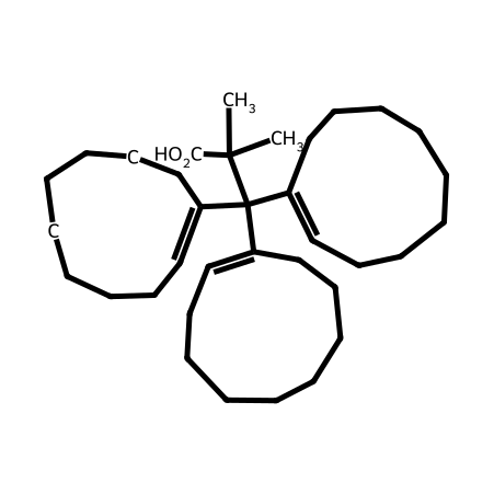 CC(C)(C(=O)O)C(C1=CCCCCCCCC1)(C1=CCCCCCCCC1)C1=CCCCCCCCC1